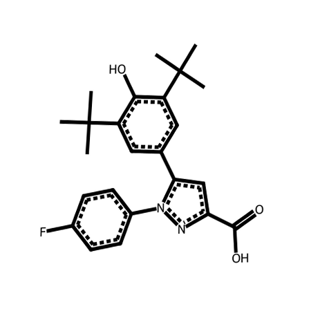 CC(C)(C)c1cc(-c2cc(C(=O)O)nn2-c2ccc(F)cc2)cc(C(C)(C)C)c1O